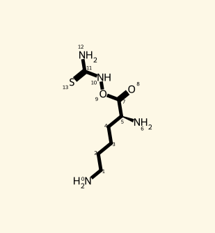 NCCCC[C@H](N)C(=O)ONC(N)=S